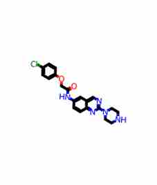 O=C(COc1ccc(Cl)cc1)Nc1ccc2nc(N3CCNCC3)ncc2c1